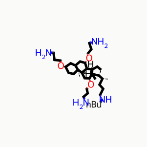 CCCCNCCC[C@@H](C)[C@H]1CC[C@H]2C3[C@H](OCCCN)CC4C[C@H](OCCCN)CC[C@]4(C)[C@H]3C[C@H](OCCCN)C12C